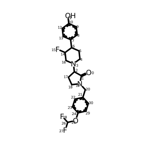 O=C1C(N2CCC(c3ccc(O)cc3)C(F)C2)CCN1Cc1ccc(OC(F)F)cc1